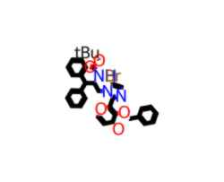 CC(C)(C)OC(=O)NC(Cn1c(Br)cnc1-c1occc(=O)c1OCc1ccccc1)C(c1ccccc1)c1ccccc1